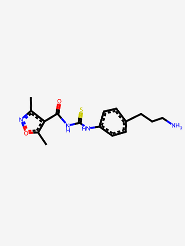 Cc1noc(C)c1C(=O)NC(=S)Nc1ccc(CCCN)cc1